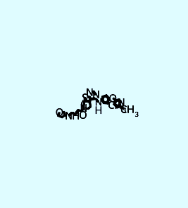 Cc1ccc(Oc2ccc(Nc3ncnc4sc5c(c34)CCN(C(=O)/C=C/CNC3CCOC3)C5)cc2C)cn1